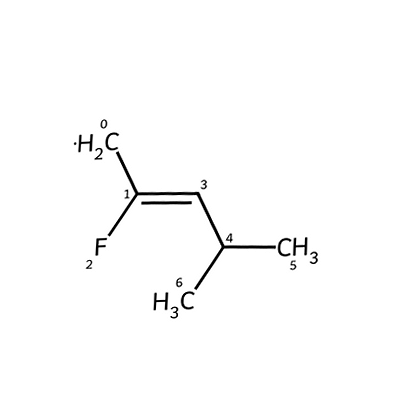 [CH2]/C(F)=C/C(C)C